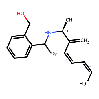 C=C(/C=C\C=C/C)[C@H](C)NC(c1ccccc1CO)C(C)C